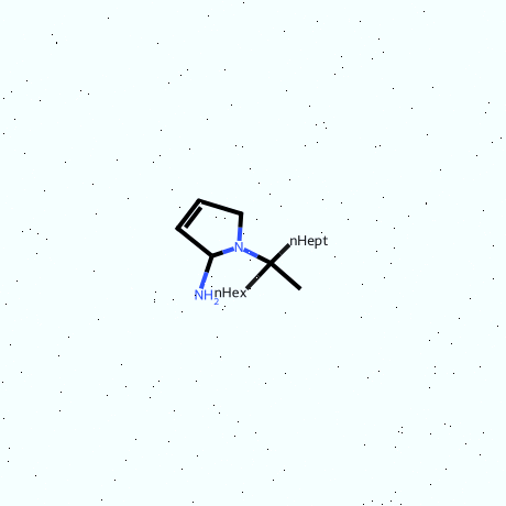 CCCCCCCC(C)(CCCCCC)N1CC=CC1N